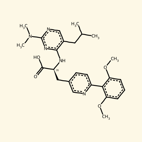 COc1cccc(OC)c1-c1ccc(C[C@H](Nc2nc(N(C)C)ncc2CC(C)C)C(=O)O)cn1